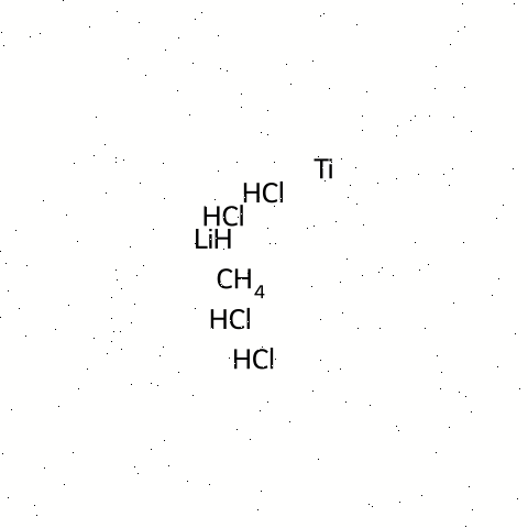 C.Cl.Cl.Cl.Cl.[LiH].[Ti]